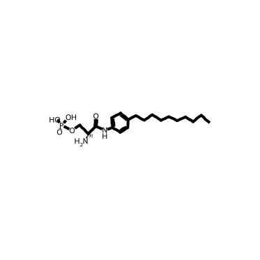 CCCCCCCCCCc1ccc(NC(=O)[C@H](N)COP(=O)(O)O)cc1